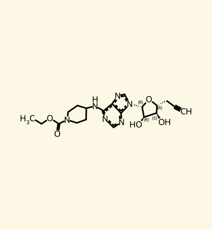 C#CC[C@H]1O[C@@H](n2cnc3c(NC4CCN(C(=O)OCC)CC4)ncnc32)[C@H](O)[C@@H]1O